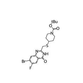 CC(C)(C)OC(=O)N1CCC(SCc2nc3cc(Br)c(F)cc3c(=O)[nH]2)CC1